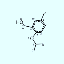 Cc1ccc(OC(C)C)c([CH]O)c1